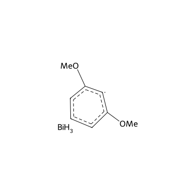 COc1[c]c(OC)ccc1.[BiH3]